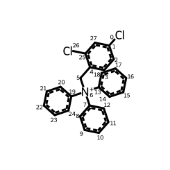 Clc1ccc(C[N+](c2ccccc2)(c2ccccc2)c2ccccc2)c(Cl)c1